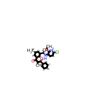 COc1nc(Cl)ccc1N[C@H](C)c1cc(C)cc2c(=O)c(C)c(-c3ccccc3)oc12